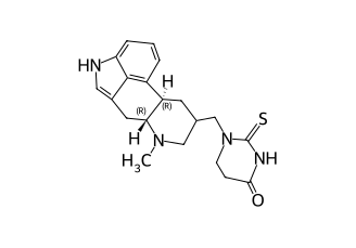 CN1CC(CN2CCC(=O)NC2=S)C[C@@H]2c3cccc4[nH]cc(c34)C[C@H]21